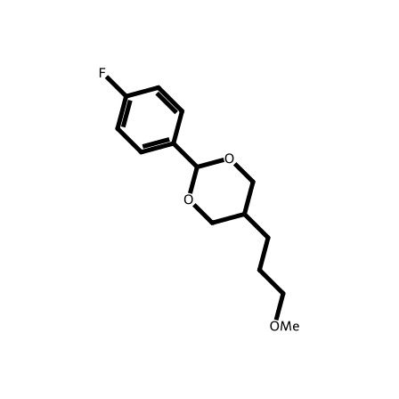 COCCCC1COC(c2ccc(F)cc2)OC1